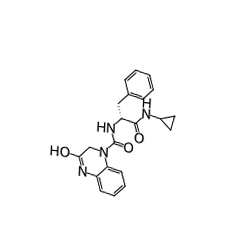 O=C(NC1CC1)[C@@H](Cc1ccccc1)NC(=O)N1CC(O)=Nc2ccccc21